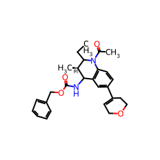 CCC1[C@H](C)C(NC(=O)OCc2ccccc2)c2cc(C3=CCOCC3)ccc2N1C(C)=O